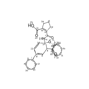 COC(=O)C1C=C(c2ccccc2)C=CC1(NC(=O)C1=C(C(=O)O)CCC1)Oc1ccccc1